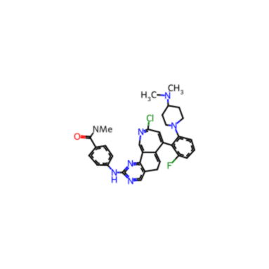 CNC(=O)c1ccc(Nc2ncc3c(n2)C2=CN=C(Cl)C=C(c4c(F)cccc4N4CCC(N(C)C)CC4)C2=CC3)cc1